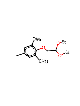 CCOC(COc1c(C=O)cc(C)cc1OC)OCC